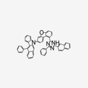 c1ccc(C2=NC(c3ccc4ccccc4c3)NC(c3cccc4oc5cc(-n6c7ccccc7c7c(-c8ccccc8)c8ccccc8cc76)ccc5c34)=N2)cc1